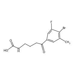 Cc1cc(C(=O)CCCNC(=O)O)cc(F)c1Br